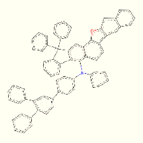 c1ccc(-c2ccc(-c3ccc(N(c4ccccc4-c4ccc5oc6cc7ccccc7cc6c5c4)c4cccc5c4-c4ccccc4C5(c4ccccc4)c4ccccc4)cc3)cc2-c2ccccc2)cc1